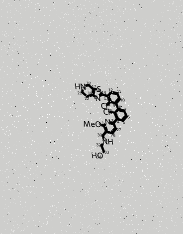 COc1nc(-c2cccc(-c3cccc(-c4nc5c(s4)CNCC5)c3Cl)c2Cl)ccc1CNCCO